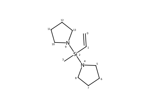 C=C[Si](C)(N1CCCC1)N1CCCC1